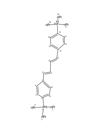 CCC[PH](CCC)(CCC)c1ccc(C=CC=Cc2ccc([PH](CCC)(CCC)CCC)cc2)cc1